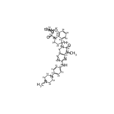 [2H]C1(N2Cc3cnc(Nc4ccc(N5CCN(C)CC5)cc4)nc3N(C)C2=O)CCN(C(=O)OC(C)(C)C)c2c(OC)cccc21